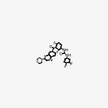 O=C(Nc1ccc(F)c(F)c1)Nc1ccc(F)c(C(=O)c2ccc3ncc(N4CCOCC4)nc3c2)c1F